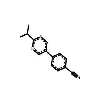 CC(C)c1ncc(-c2ccc(C#N)cc2)cn1